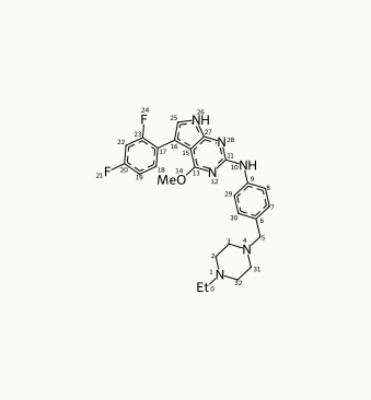 CCN1CCN(Cc2ccc(Nc3nc(OC)c4c(-c5ccc(F)cc5F)c[nH]c4n3)cc2)CC1